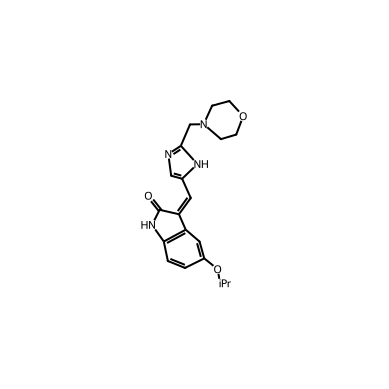 CC(C)Oc1ccc2c(c1)/C(=C/c1cnc(CN3CCOCC3)[nH]1)C(=O)N2